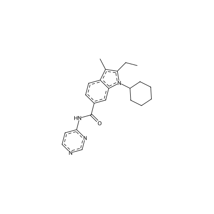 CCc1c(C)c2ccc(C(=O)Nc3ccncn3)cc2n1C1CCCCC1